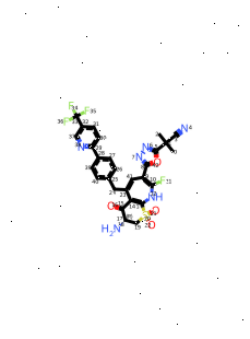 CC(C)(C#N)c1nnc(C2=C(F)NC3=C(C(=O)[C@@H](N)CS3(=O)=O)C(Cc3ccc(-c4ccc(C(F)(F)F)cn4)cc3)=C2)o1